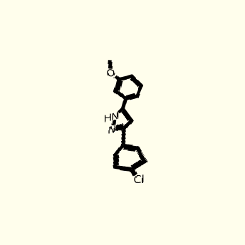 COc1cccc(-c2cc(-c3ccc(Cl)cc3)n[nH]2)c1